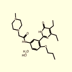 CCCOc1ccc(NC(=O)CN2CCN(C)CC2)cc1-c1nc(CC)c(CC)c(=O)[nH]1.Cl.O